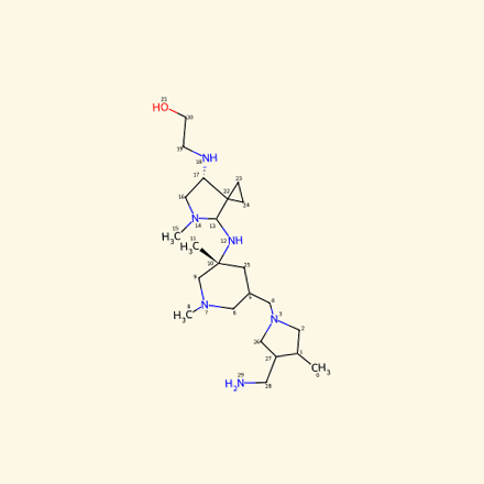 CC1CN(CC2CN(C)C[C@](C)(NC3N(C)C[C@H](NCCO)C34CC4)C2)CC1CN